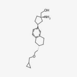 N[C@]1(CO)CC[C@H](c2ccc3c(c2)CC[C@H](CCOCC2CC2)C3)C1